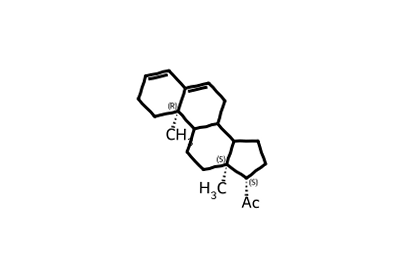 CC(=O)[C@H]1CCC2C3CC=C4C=CCC[C@]4(C)C3CC[C@@]21C